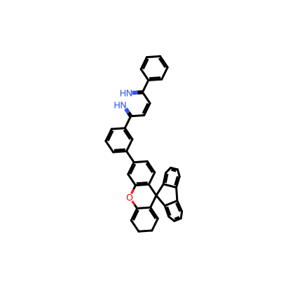 N=C(/C=C\C(=N)c1cccc(-c2ccc3c(c2)OC2=CCCC=C2C32c3ccccc3-c3ccccc32)c1)c1ccccc1